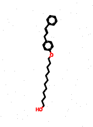 OCCCCCCCCCCCCOc1ccc(CC=Cc2ccccc2)cc1